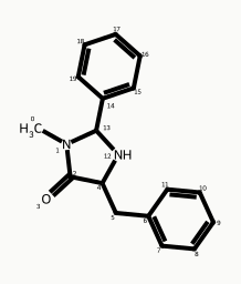 CN1C(=O)C(Cc2ccccc2)NC1c1ccccc1